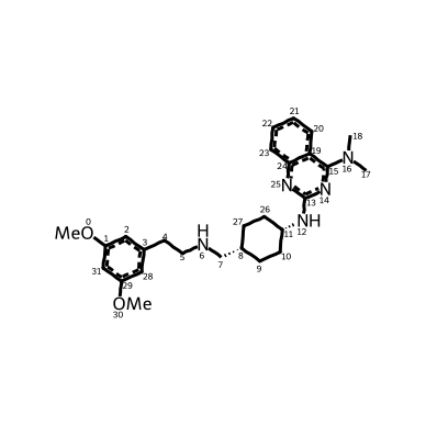 COc1cc(CCNC[C@H]2CC[C@@H](Nc3nc(N(C)C)c4ccccc4n3)CC2)cc(OC)c1